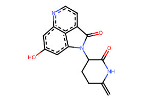 C=C1CCC(N2C(=O)c3ccnc4cc(O)cc2c34)C(=O)N1